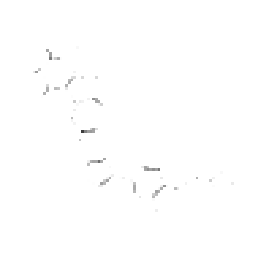 Cn1c(=O)c2c(n(C)c1=O)n(C)c(=O)n2CC(=O)Nc1nc(-c2cc(Cl)c(OCC3CCC3)c(Cl)c2)cs1